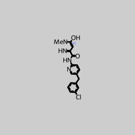 CN/C(O)=C\C(=N)C(=O)Nc1ccc(Cc2cccc(Cl)c2)cn1